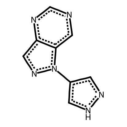 c1ncc2c(cnn2-c2cn[nH]c2)n1